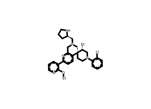 CCOc1ncccc1-c1ccc2c(n1)CN(C[C@H]1CCCN1)C[C@]21CCN(c2ccccc2Cl)C[C@H]1CC